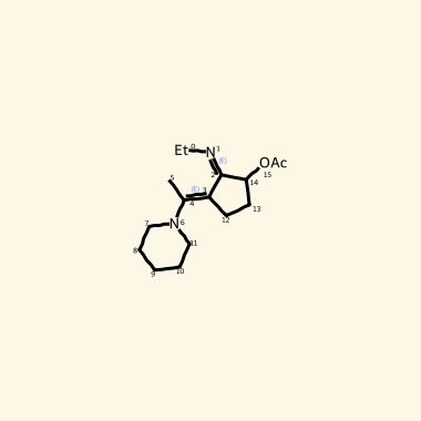 CC/N=C1\C(=C(/C)N2CCCCC2)CCC1OC(C)=O